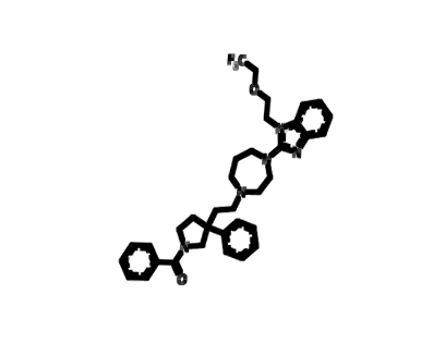 O=C(c1ccccc1)N1CCC(CCN2CCCN(c3nc4ccccc4n3CCOCC(F)(F)F)CC2)(c2ccccc2)C1